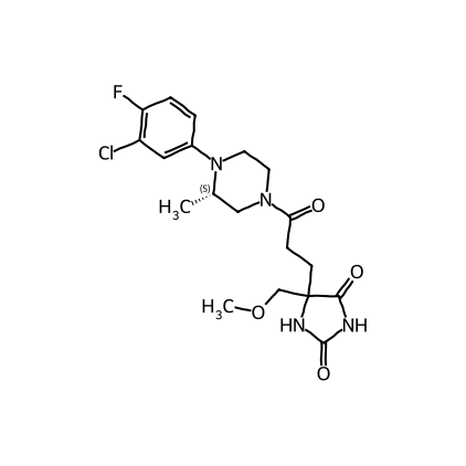 COCC1(CCC(=O)N2CCN(c3ccc(F)c(Cl)c3)[C@@H](C)C2)NC(=O)NC1=O